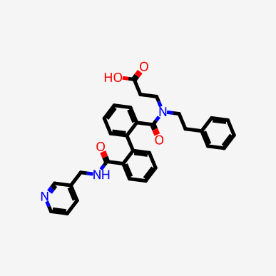 O=C(O)CCN(CCc1ccccc1)C(=O)c1ccccc1-c1ccccc1C(=O)NCc1cccnc1